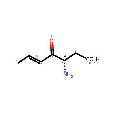 C/C=C/C(=O)[C@@H](N)CC(=O)O